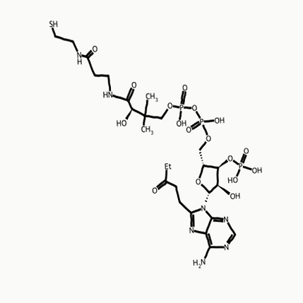 CCC(=O)CCc1nc2c(N)ncnc2n1[C@@H]1O[C@H](COP(=O)(O)OP(=O)(O)OCC(C)(C)[C@@H](O)C(=O)NCCC(=O)NCCS)[C@@H](OP(=O)(O)O)[C@H]1O